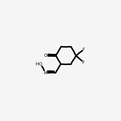 O=C1CCC(F)(F)CC1/C=N\O